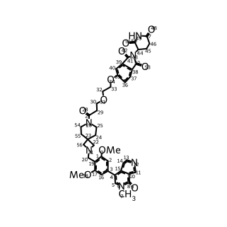 COc1cc(-c2cn(C)c(=O)c3cnccc23)cc(OC)c1CN1CC2(CCN(C(=O)CCOCCOc3ccc4c(c3)C(=O)N(C3CCC(=O)NC3=O)C4=O)CC2)C1